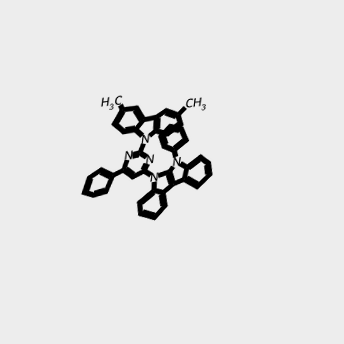 Cc1ccc2c(c1)c1cc(C)ccc1n2-c1nc(-c2ccccc2)cc(-n2c3ccccc3c3c4ccccc4n(-c4ccccc4)c32)n1